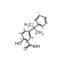 CC(C)(c1ccccc1)c1ccc(O)c(C(=O)O)c1